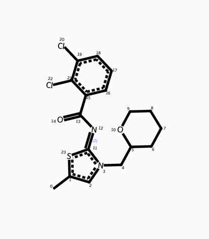 Cc1cn(CC2CCCCO2)/c(=N/C(=O)c2cccc(Cl)c2Cl)s1